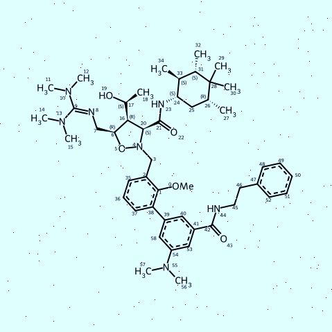 COc1c(CN2O[C@@H](CN=C(N(C)C)N(C)C)[C@@H]([C@H](C)O)[C@H]2C(=O)N[C@H]2C[C@@H](C)C(C)(C)[C@@H](C)[C@@H]2C)cccc1-c1cc(C(=O)NCCc2ccccc2)cc(N(C)C)c1